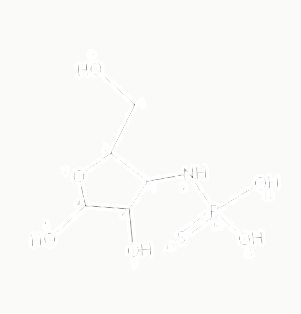 OCC1OC(O)C(O)C1NP(O)(O)=S